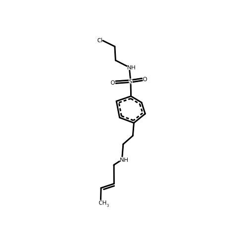 C/C=C/CNCCc1ccc(S(=O)(=O)NCCCl)cc1